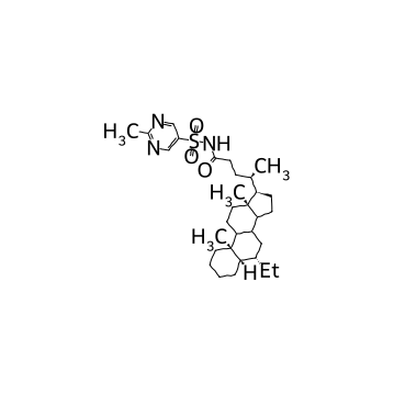 CC[C@H]1CC2C3CC[C@H]([C@H](C)CCC(=O)NS(=O)(=O)c4cnc(C)nc4)[C@@]3(C)CCC2[C@@]2(C)CCCC[C@@H]12